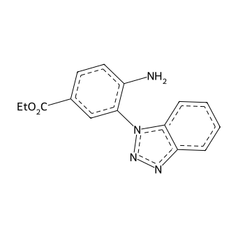 CCOC(=O)c1ccc(N)c(-n2nnc3ccccc32)c1